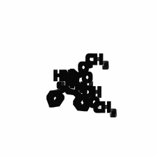 CCOC(=O)C1=CNN2C(Sc3ccccc3)CC(c3cccc(OC)c3O)NC12